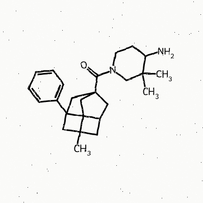 CC1(C)CN(C(=O)C23CC4CC5(C)CC(c6ccccc6)(C2)C45C3)CCC1N